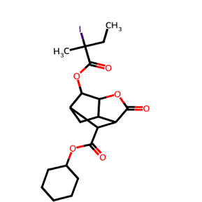 CCC(C)(I)C(=O)OC1C2CC3C1OC(=O)C3C2C(=O)OC1CCCCC1